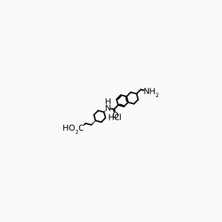 Cl.NCC1CCc2cc(C(=O)N[C@H]3CC[C@H](CCC(=O)O)CC3)ccc2C1